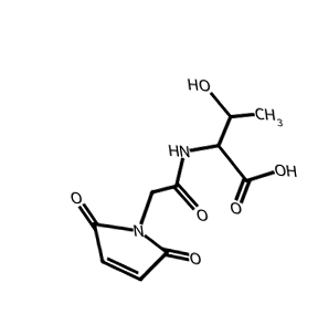 CC(O)C(NC(=O)CN1C(=O)C=CC1=O)C(=O)O